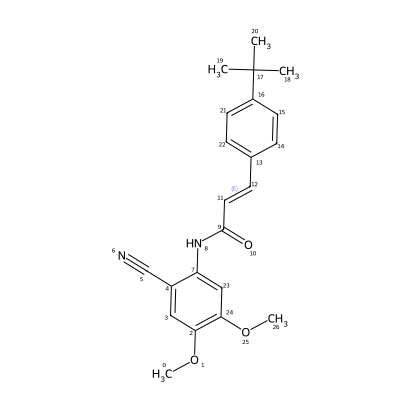 COc1cc(C#N)c(NC(=O)/C=C/c2ccc(C(C)(C)C)cc2)cc1OC